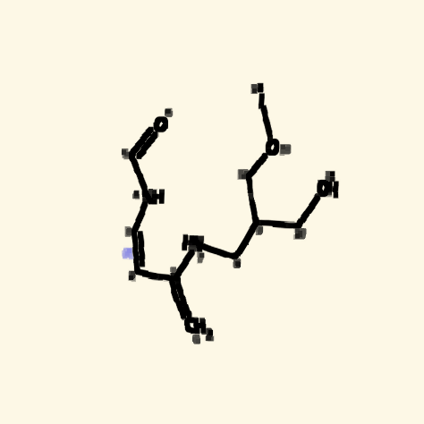 C=C(/C=C\NC=O)NCC(CO)COI